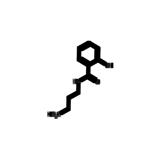 O=C(O)CCCNC(=O)c1ccccc1O